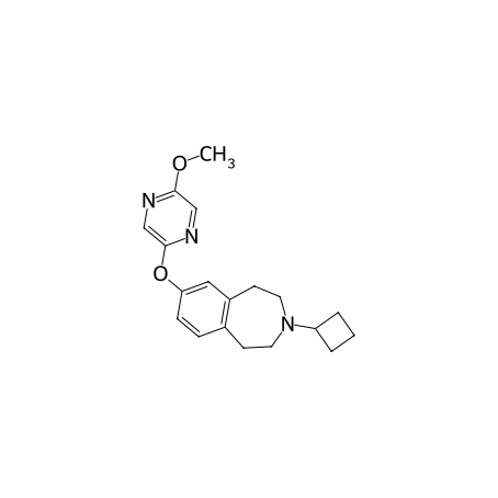 COc1cnc(Oc2ccc3c(c2)CCN(C2CCC2)CC3)cn1